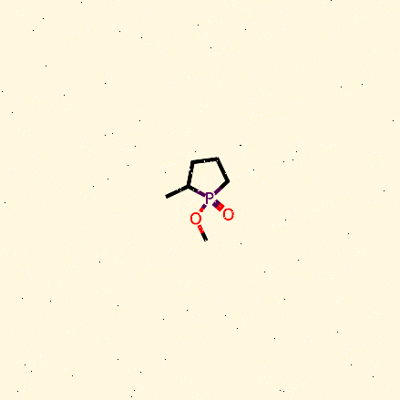 COP1(=O)CCCC1C